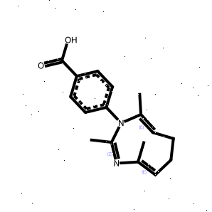 C/C1=N/C(C)=C/CC/C=C(\C)N1c1ccc(C(=O)O)cc1